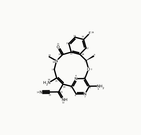 C[C@H]1Oc2nc(cnc2N)/C(C(=N)C#N)=C(/N)CN(C)C(=O)c2ccc(F)cc21